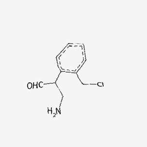 NCC(C=O)c1ccccc1CCl